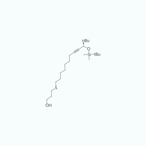 CCCC[C@H](C#CCCCCCCCSCCCO)O[Si](C)(C)C(C)(C)C